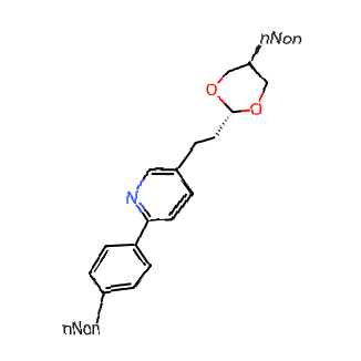 CCCCCCCCCc1ccc(-c2ccc(CC[C@H]3OC[C@H](CCCCCCCCC)CO3)cn2)cc1